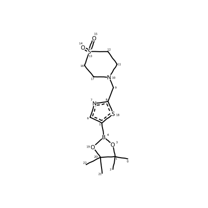 CC1(C)OB(c2cnc(CN3CCS(=O)(=O)CC3)s2)OC1(C)C